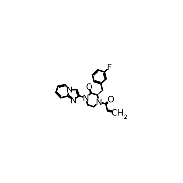 C=CC(=O)N1CCN(c2cn3ccccc3n2)C(=O)[C@H]1Cc1cccc(F)c1